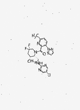 Cc1ccc(-n2nccn2)c(C(=O)N2CC(F)(F)C[C@@H](C)[C@H]2CNc2ncc(Cl)cn2)n1